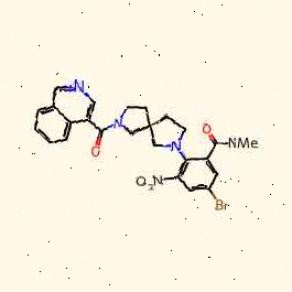 CNC(=O)c1cc(Br)cc([N+](=O)[O-])c1N1CC[C@@]2(CCN(C(=O)c3cncc4ccccc34)C2)C1